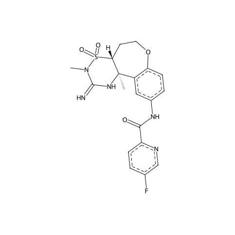 CN1C(=N)N[C@]2(C)c3cc(NC(=O)c4ccc(F)cn4)ccc3OCC[C@H]2S1(=O)=O